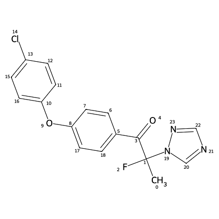 CC(F)(C(=O)c1ccc(Oc2ccc(Cl)cc2)cc1)n1cncn1